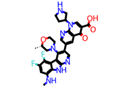 CNc1cc(F)c(F)c2c1[nH]c1ncc(-c3cnc4c(c3)c(=O)c(C(=O)O)cn4C3CCNC3)c(N3CCO[C@@H](C)C3)c12